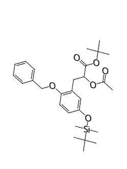 CC(=O)OC(Cc1cc(O[Si](C)(C)C(C)(C)C)ccc1OCc1ccccc1)C(=O)OC(C)(C)C